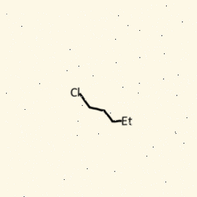 [CH2]CCCCCl